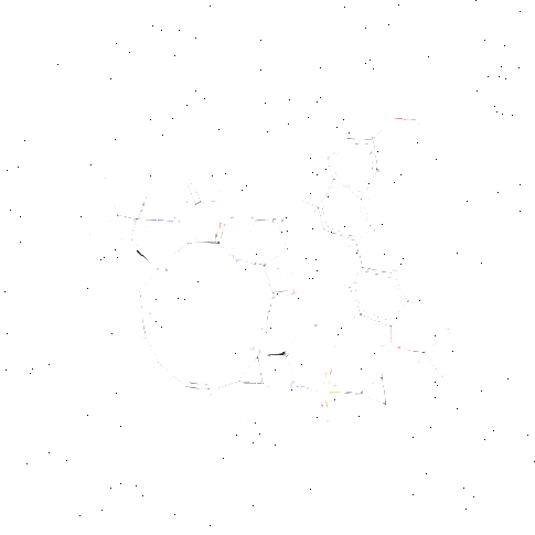 COc1ccc2c(O[C@@H]3C[C@H]4C(=O)N[C@]5(C(=O)NS(=O)(=O)C6CC6)C[C@H]5/C=C\CCCC[C@@H](C)[C@H](N(C(=O)O)C(C)(C)C(F)F)C(=O)N4C3)cc(-c3ccc(OC(C)C)cc3)nc2c1